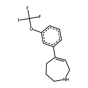 FC(F)(F)Oc1cccc(C2=CCNCCC2)c1